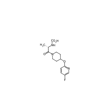 C[C@H](NC(=O)O)C(=O)N1CCC(Oc2ccc(F)cn2)CC1